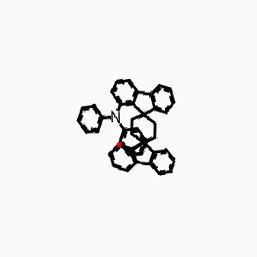 c1ccc(N(c2ccccc2)c2cccc3c2C2(CCC4(CC2)c2ccccc2-c2ccccc24)c2ccccc2-3)cc1